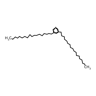 CCCCCCCCCCCCCCCCCCc1c[c]cc(CCCCCCCCCCCCCCCCCC)c1